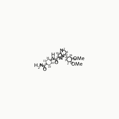 COc1ccc(-c2ccnc3cc(C(=O)N[C@H]4CC[C@@H](C(N)=O)CC4)nn23)cc1OC